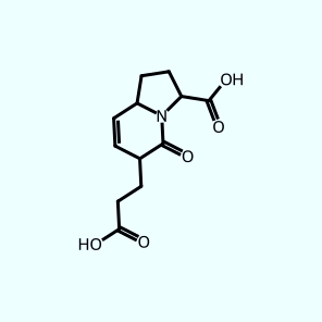 O=C(O)CCC1C=CC2CCC(C(=O)O)N2C1=O